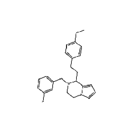 CCc1ccc(CCC2c3cccn3CCN2Cc2cccc(F)c2)cc1